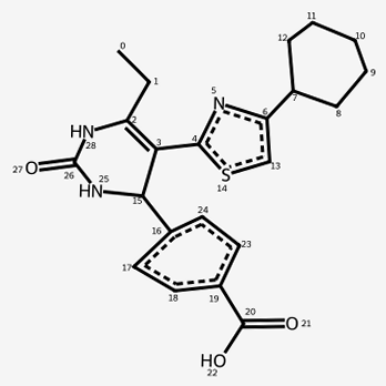 CCC1=C(c2nc(C3CCCCC3)cs2)C(c2ccc(C(=O)O)cc2)NC(=O)N1